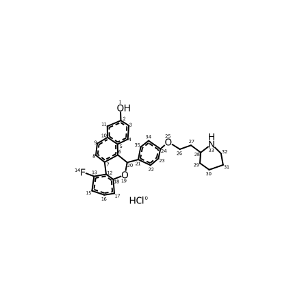 Cl.Oc1ccc2c3c(ccc2c1)-c1c(F)cccc1OC3c1ccc(OCCC2CCCCN2)cc1